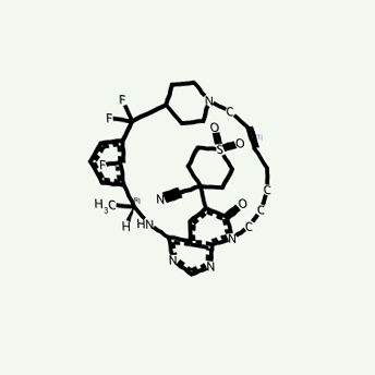 C[C@H]1Nc2ncnc3c2cc(C2(C#N)CCS(=O)(=O)CC2)c(=O)n3CCCC/C=C/CN2CCC(CC2)C(F)(F)c2cccc1c2F